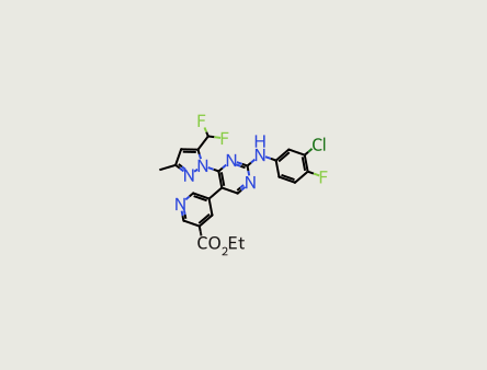 CCOC(=O)c1cncc(-c2cnc(Nc3ccc(F)c(Cl)c3)nc2-n2nc(C)cc2C(F)F)c1